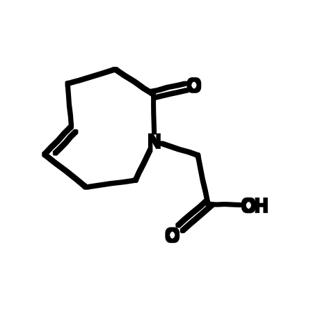 O=C(O)CN1CC/C=C/CCC1=O